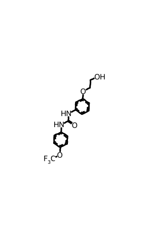 O=C(Nc1ccc(OC(F)(F)F)cc1)Nc1cccc(OCCO)c1